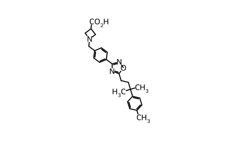 Cc1ccc(C(C)(C)CCc2nc(-c3ccc(CN4CC(C(=O)O)C4)cc3)no2)cc1